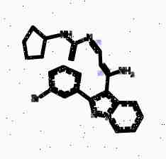 C=C(/N=C\C=C(/N)c1c(-c2cccc(Br)c2)nn2ccccc12)NC1CCCC1